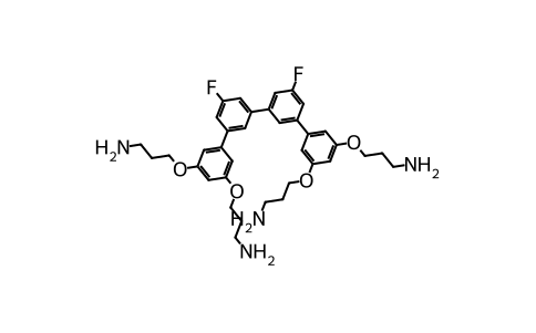 NCCCOc1cc(OCCCN)cc(-c2cc(F)cc(-c3cc(F)cc(-c4cc(OCCCN)cc(OCCCN)c4)c3)c2)c1